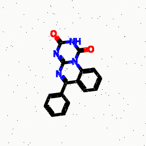 O=c1nc2nc(-c3ccccc3)c3ccccc3n2c(=O)[nH]1